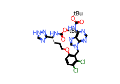 CC(C)(C)OC(=O)Nc1ncnc2c1ncn2Cc1c(OCCC[C@@H](NC(=O)OC(C)(C)C)c2nc[nH]n2)ccc(Cl)c1Cl